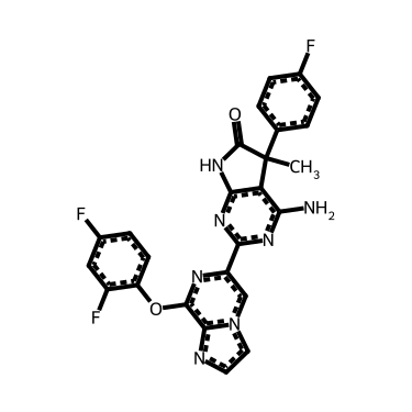 CC1(c2ccc(F)cc2)C(=O)Nc2nc(-c3cn4ccnc4c(Oc4ccc(F)cc4F)n3)nc(N)c21